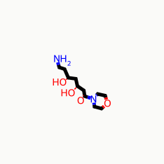 NCC[C@@H](O)C[C@@H](O)CC(=O)N1CCOCC1